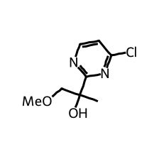 COCC(C)(O)c1nccc(Cl)n1